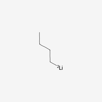 [2Li][CH2]CCC